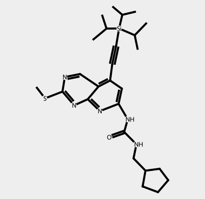 CSc1ncc2c(C#C[Si](C(C)C)(C(C)C)C(C)C)cc(NC(=O)NCC3CCCC3)nc2n1